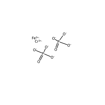 O=P([O-])([O-])[O-].O=P([O-])([O-])[O-].[Cr+3].[Fe+3]